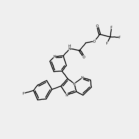 O=C(COC(=O)C(F)(F)F)Nc1cc(-c2c(-c3ccc(F)cc3)nc3cccnn23)ccn1